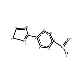 O=[N+]([O-])c1ccc(C2=NCC=C2)cc1